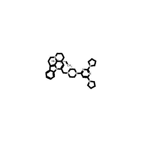 CC[C@@]12C=C(CN3CCN(c4cc(N5CCCC5)nc(N5CCCC5)n4)CC3)n3c4c(c5ccccc53)CCN(CCC1)[C@H]42